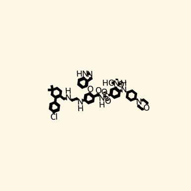 CC1(C)CCC(CNCCNc2ccc(C(=O)NS(=O)(=O)c3ccc(N[C@H]4CC[C@H](N5CCOCC5)CC4)c([N+](C)([O-])O)c3)c(Oc3cccc4[nH]ncc34)c2)=C(c2ccc(Cl)cc2)C1